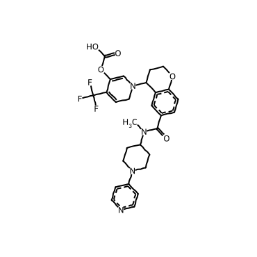 CN(C(=O)c1ccc2c(c1)C(N1C=C(OC(=O)O)C(C(F)(F)F)=CC1)CCO2)C1CCN(c2ccncc2)CC1